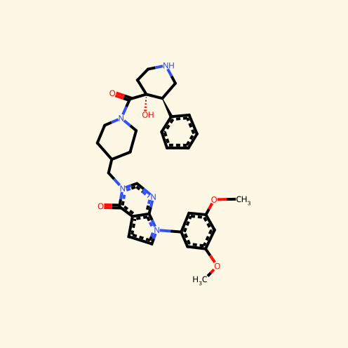 COc1cc(OC)cc(-n2ccc3c(=O)n(CC4CCN(C(=O)[C@@]5(O)CCNC[C@H]5c5ccccc5)CC4)cnc32)c1